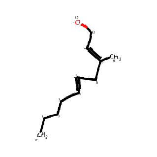 CCCCC=CCC(C)=CC[O]